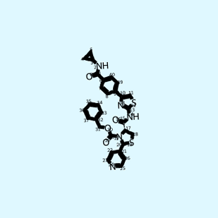 O=C(NC1CC1)c1ccc(-c2csc(NC(=O)[C@@H]3CSC(c4ccncc4)N3C(=O)OCc3ccccc3)n2)cc1